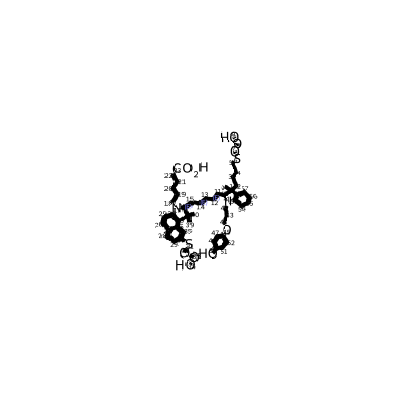 CC1(CCCCSOOO)C(/C=C/C=C/C=C2/N(CCCCCC(=O)O)c3ccc4ccc(SOOO)cc4c3C2(C)C)=[N+](CCCOc2ccc(O)cc2)c2ccccc21